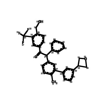 Cc1ncc(N(C(=O)c2ccc(CO)c(C(F)(F)F)c2)c2ccccc2)cc1-c1cccc(C2COC2)c1